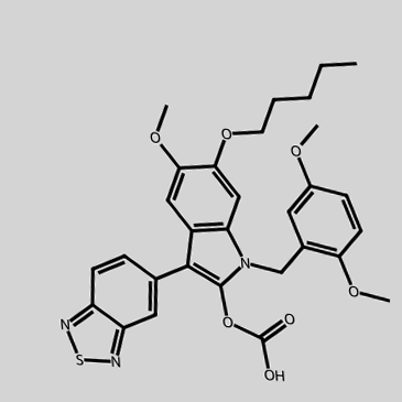 CCCCCOc1cc2c(cc1OC)c(-c1ccc3nsnc3c1)c(OC(=O)O)n2Cc1cc(OC)ccc1OC